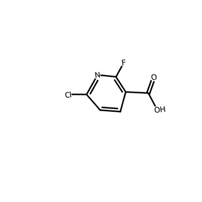 O=C(O)c1ccc(Cl)nc1F